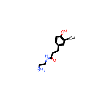 CC(C)(C)c1cc(CCC(=O)NCCN)ccc1O